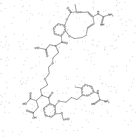 C\C1=C/C=C(NC(=N)N)\C=C\CCCOc2c(cccc2C(=O)N(CCOCCOCCN(C(=O)c2cccc(OC=O)c2OCCCc2cc(NC(=N)N)ccc2C)C(CC(=O)O)C(=O)O)CC(=O)O)OC1=O